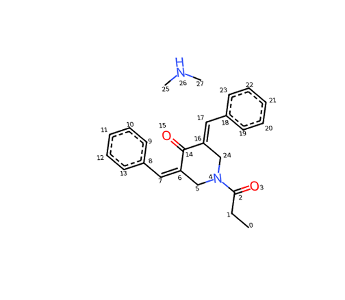 CCC(=O)N1CC(=Cc2ccccc2)C(=O)C(=Cc2ccccc2)C1.CNC